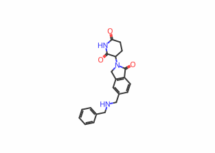 O=C1CCC(N2Cc3cc(CNCc4ccccc4)ccc3C2=O)C(=O)N1